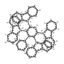 c1ccc(-c2c(-n3c4ccccc4c4ccccc43)c(-n3c4ccccc4c4cnccc43)nc(-n3c4ccccc4c4ccccc43)c2-n2c3ccccc3c3cnccc32)cc1